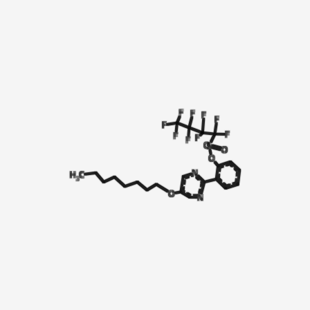 CCCCCCCCOc1cnc(-c2ccccc2OS(=O)(=O)C(F)(F)C(F)(F)C(F)(F)C(F)(F)F)nc1